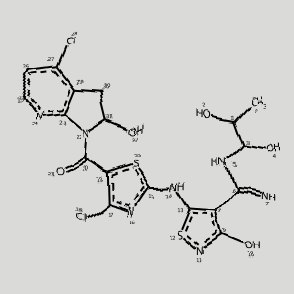 CC(O)C(O)NC(=N)c1c(O)nsc1Nc1nc(Cl)c(C(=O)N2c3nccc(Cl)c3CC2O)s1